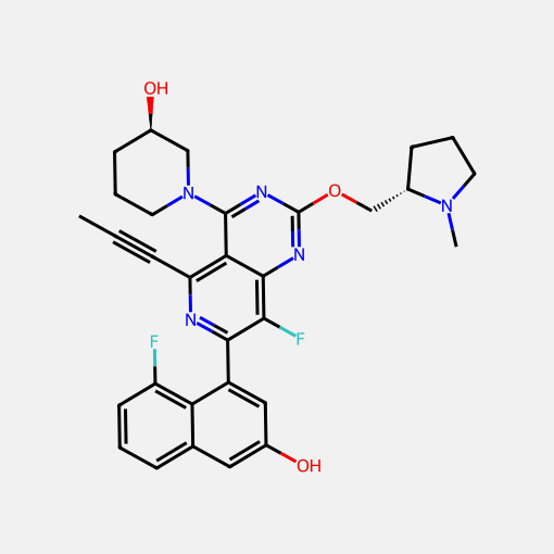 CC#Cc1nc(-c2cc(O)cc3cccc(F)c23)c(F)c2nc(OC[C@@H]3CCCN3C)nc(N3CCC[C@@H](O)C3)c12